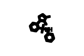 CC1=CCC(c2ccccc2C(C)(C)Nc2ccccc2)=C1C